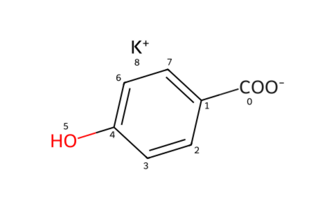 O=C([O-])c1ccc(O)cc1.[K+]